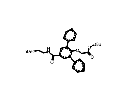 CCCCCCCCCCCCNC(=O)c1cc(-c2ccccc2)c(OCC(=O)OC(C)(C)C)c(-c2ccccc2)c1